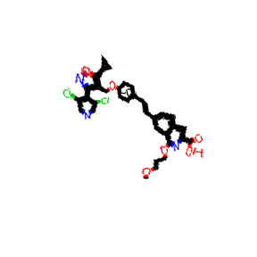 COCCCOc1nc(C(=O)O)cc2ccc(/C=C/C34CCC(OCc5c(-c6c(Cl)cncc6Cl)noc5C5CC5)(CC3)CC4)cc12